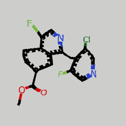 COC(=O)c1ccc2c(F)cnc(-c3c(F)cncc3Cl)c2c1